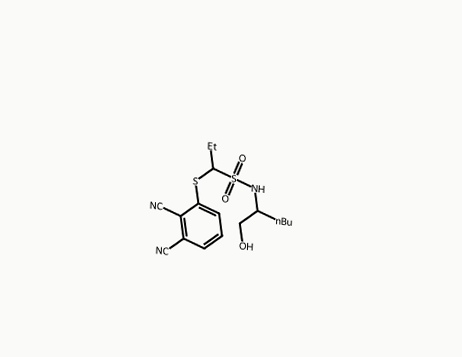 CCCCC(CO)NS(=O)(=O)C(CC)Sc1cccc(C#N)c1C#N